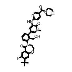 Cn1cc(-c2cccc(N3CCOc4cc(C(C)(C)C)c(F)cc4C3=O)c2CO)cc(Nc2ccc(C(=O)N3CCOCC3)cn2)c1=O